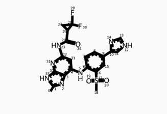 Cc1nc2c(Nc3ccc(-c4c[nH]cn4)cc3S(C)(=O)=O)cc(NC(=O)C3CC3(F)F)nc2[nH]1